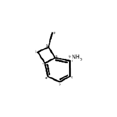 CC1Cc2ccccc21.N